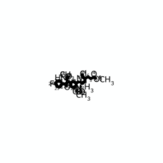 CCOC(=O)CCc1ccc(-c2cc3c(C(=O)NC)c(-c4ccc(F)cc4)oc3cc2N(C)S(C)(=O)=O)nc1Cl